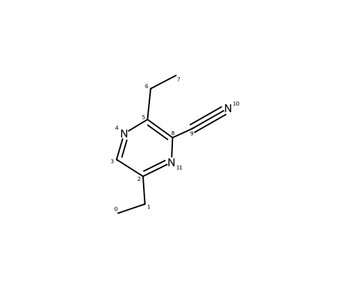 CCc1cnc(CC)c(C#N)n1